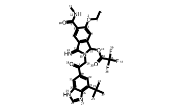 CCOc1cc2c(cc1C(=O)NC)C(=N)N(CC(=O)c1cc(C(C)(C)C)c3nc[nH]c3c1)C2OC(=O)C(F)(F)F